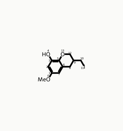 COc1cc(O)c2c(c1)CC(CI)CO2